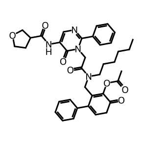 CCCCCCN(CC1=C(OC(C)=O)C(=O)CC=C1c1ccccc1)C(=O)Cn1c(-c2ccccc2)ncc(NC(=O)C2CCOC2)c1=O